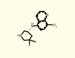 FC1(F)CNC[C@H](Nc2ccc(C(F)(F)F)c3ncccc23)C1